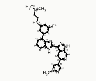 CN(C)CCNc1cc(F)cc(-c2cccc3[nH]c(-c4n[nH]c5cnc(-c6cnn(C)c6)cc45)nc23)c1